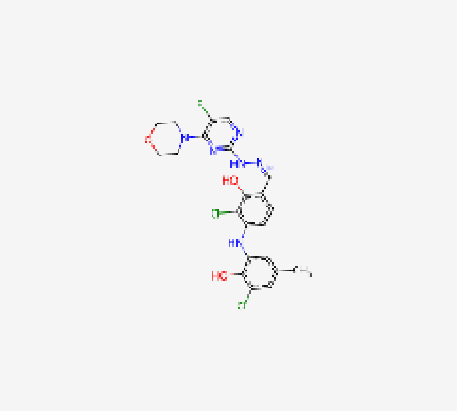 Cc1cc(Cl)c(O)c(Nc2ccc(/C=N\Nc3ncc(F)c(N4CCOCC4)n3)c(O)c2Cl)c1